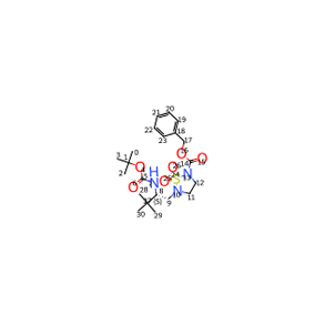 CC(C)(C)OC(=O)N[C@H](CN1CCN(C(=O)OCc2ccccc2)S1(=O)=O)C(C)(C)C